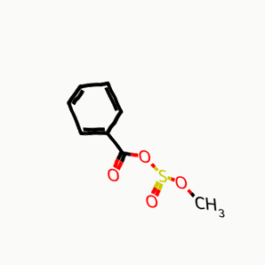 COS(=O)OC(=O)c1ccccc1